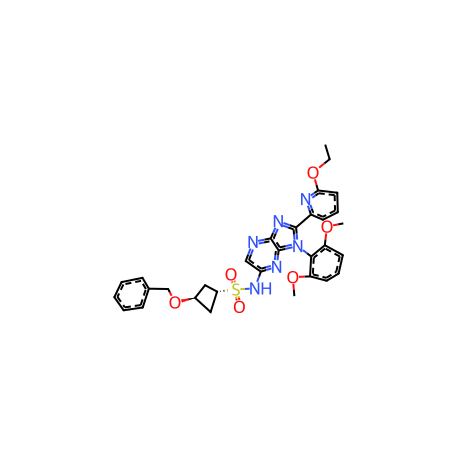 CCOc1cccc(-c2nc3ncc(NS(=O)(=O)[C@H]4C[C@H](OCc5ccccc5)C4)nc3n2-c2c(OC)cccc2OC)n1